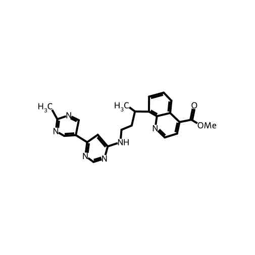 COC(=O)c1ccnc2c(C(C)CCNc3cc(-c4cnc(C)nc4)ncn3)cccc12